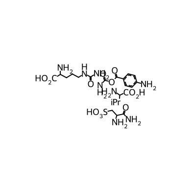 CC(C)C(N)C(=O)O.NC(=O)C(N)CS(=O)(=O)O.NC(=O)NCCCC(N)C(=O)O.NC(=O)OC(=O)c1ccc(N)cc1